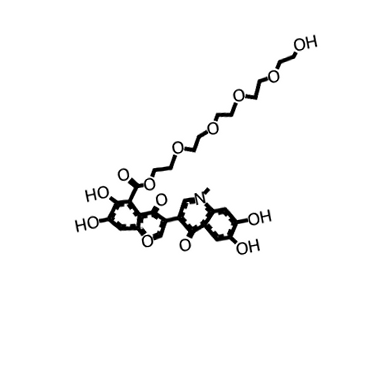 Cn1cc(-c2coc3cc(O)c(O)c(C(=O)OCCOCCOCCOCCOCCO)c3c2=O)c(=O)c2cc(O)c(O)cc21